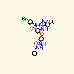 CC(C)c1ccc2c(Nc3cc(C(=O)Nc4ccc(Br)cc4)ccc3Oc3ccc(NC(=O)NCc4ccccc4)cc3)ncnc2n1